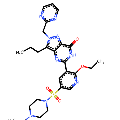 CCCc1c2nc(-c3cc(S(=O)(=O)N4CCN(CC)CC4)cnc3OCC)[nH]c(=O)c2nn1Cc1ncccn1